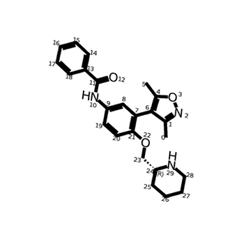 Cc1noc(C)c1-c1cc(NC(=O)c2ccccc2)ccc1OC[C@H]1CCCCN1